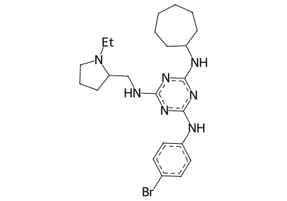 CCN1CCCC1CNc1nc(Nc2ccc(Br)cc2)nc(NC2CCCCCC2)n1